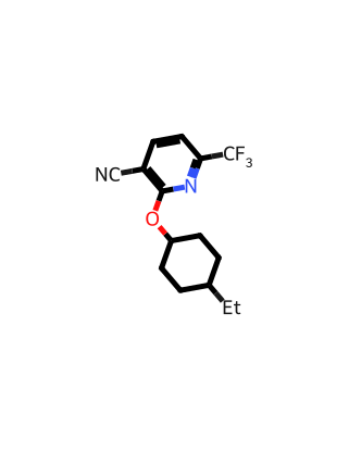 CCC1CCC(Oc2nc(C(F)(F)F)ccc2C#N)CC1